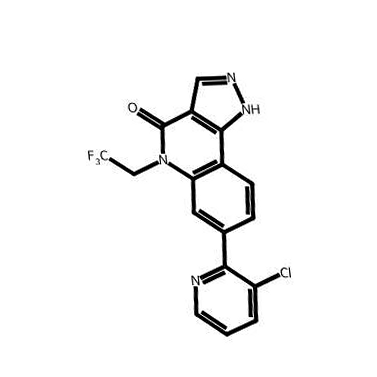 O=c1c2cn[nH]c2c2ccc(-c3ncccc3Cl)cc2n1CC(F)(F)F